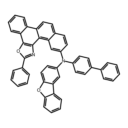 c1ccc(-c2ccc(N(c3ccc4oc5ccccc5c4c3)c3ccc4ccc5c6ccccc6c6oc(-c7ccccc7)nc6c5c4c3)cc2)cc1